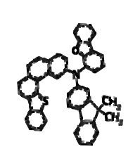 CC1(C)c2ccccc2-c2ccc(N(c3ccc4ccc5ccc6c7ccccc7sc6c5c4c3)c3cccc4c3oc3ccccc34)cc21